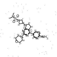 CN(C)S(=O)(=O)N1CC(N2CCc3c(-c4cnc(N)nc4)nc(N4CCOCC4)nc32)C1